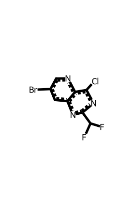 FC(F)c1nc(Cl)c2ncc(Br)cc2n1